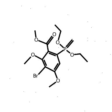 C=P(OCC)(OCC)c1cc(OC)c(Br)c(OC)c1C(=O)OC